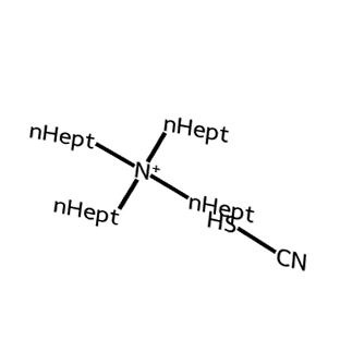 CCCCCCC[N+](CCCCCCC)(CCCCCCC)CCCCCCC.N#CS